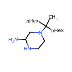 CCCCCCC(C)(CCCCCC)N1CCNC(N)C1